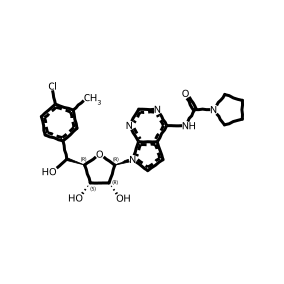 Cc1cc(C(O)[C@H]2O[C@@H](n3ccc4c(NC(=O)N5CCCC5)ncnc43)[C@H](O)[C@@H]2O)ccc1Cl